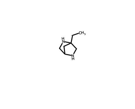 C[CH]C12CNC(CN1)C2